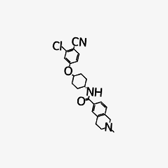 CN1CCc2cc(C(=O)N[C@H]3CC[C@H](Oc4ccc(C#N)c(Cl)c4)CC3)ccc2C1